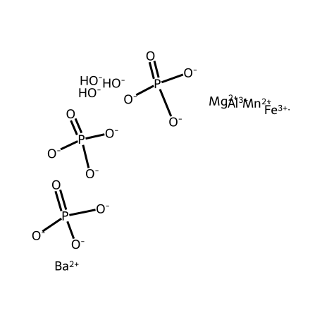 O=P([O-])([O-])[O-].O=P([O-])([O-])[O-].O=P([O-])([O-])[O-].[Al+3].[Ba+2].[Fe+3].[Mg+2].[Mn+2].[OH-].[OH-].[OH-]